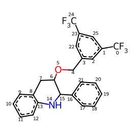 FC(F)(F)c1cc(COC2Cc3ccccc3NC2c2ccccc2)cc(C(F)(F)F)c1